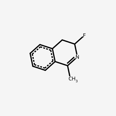 CC1=NC(F)Cc2ccccc21